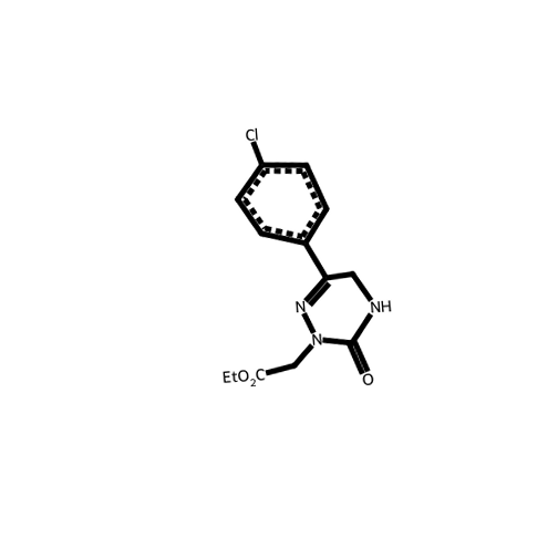 CCOC(=O)CN1N=C(c2ccc(Cl)cc2)CNC1=O